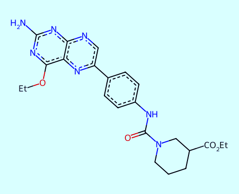 CCOC(=O)C1CCCN(C(=O)Nc2ccc(-c3cnc4nc(N)nc(OCC)c4n3)cc2)C1